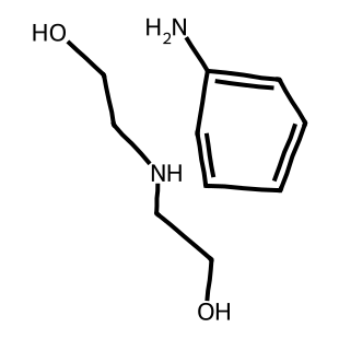 Nc1ccccc1.OCCNCCO